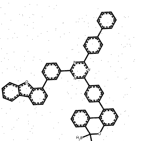 BC1(C)Oc2cccc(-c3ccc(-c4nc(-c5ccc(-c6ccccc6)cc5)nc(-c5cccc(-c6cccc7c6oc6ccccc67)c5)n4)cc3)c2-c2ccccc21